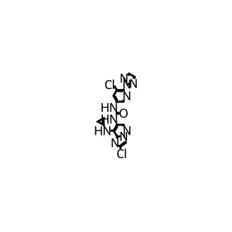 O=C(Nc1cnc(-n2nccn2)c(Cl)c1)Nc1cnn2cc(Cl)nc2c1NC1CC1